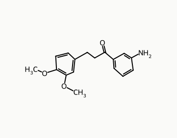 COc1ccc(CCC(=O)c2cccc(N)c2)cc1OC